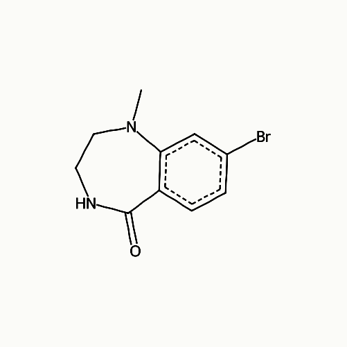 CN1CCNC(=O)c2ccc(Br)cc21